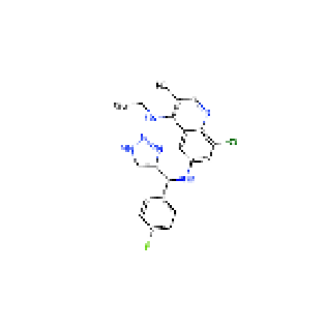 CC(C)(C)CNc1c(C#N)cnc2c(Cl)cc(N[C@@H](c3ccc(F)cc3)c3c[nH]nn3)cc12